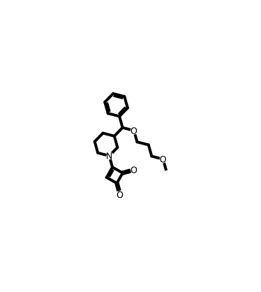 COCCCOC(c1ccccc1)C1CCCN(c2cc(=O)c2=O)C1